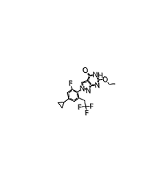 CCOc1nc2nn(-c3c(F)cc(C4CC4)cc3CC(F)(F)F)cc2c(=O)[nH]1